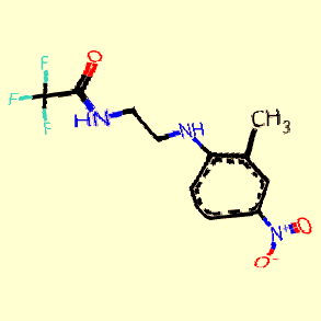 Cc1cc([N+](=O)[O-])ccc1NCCNC(=O)C(F)(F)F